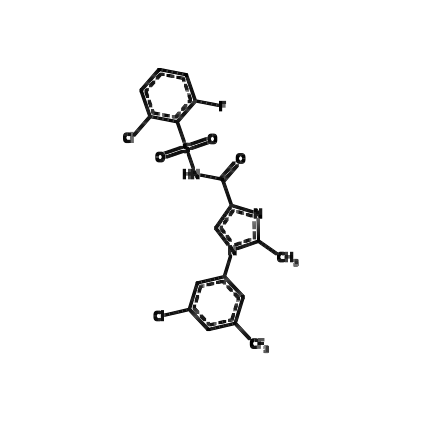 Cc1nc(C(=O)NS(=O)(=O)c2c(F)cccc2Cl)cn1-c1cc(Cl)cc(C(F)(F)F)c1